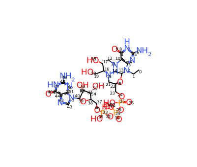 CCN(c1nc(N)[nH]c(=O)c1NC)C1CN(C(CO)CO)CC(COP(=O)(O)OP(=O)(O)OP(=O)(O)OCC2OC(n3cnc4c(=O)[nH]c(N)nc43)[C@H](O)[C@@H]2O)O1